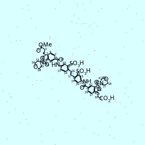 COC(=O)CSc1ccc(C(=O)Nc2ccc(/C=C/c3ccc(NC(=O)c4ccc(SCC(=O)O)c(S(=O)(=O)N5CCOCC5)c4)cc3S(=O)(=O)O)c(S(=O)(=O)O)c2)cc1S(=O)(=O)N1CCOCC1